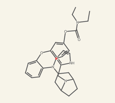 CCN(CC)C(=O)Oc1ccc2c(c1)Oc1ccccc1N2C1CC2CCC(C1)N2Cc1ncc[nH]1